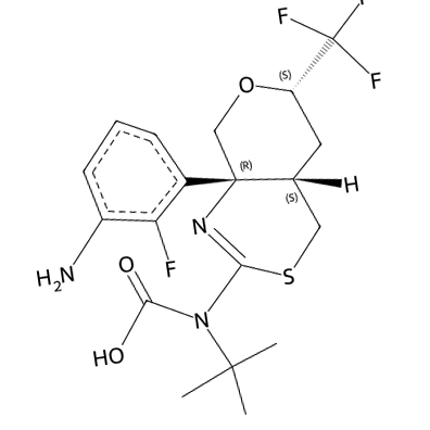 CC(C)(C)N(C(=O)O)C1=N[C@]2(c3cccc(N)c3F)CO[C@H](C(F)(F)F)C[C@@H]2CS1